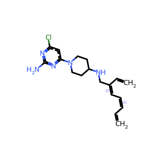 C=C/C=C\C=C(/C=C)CNC1CCN(c2cc(Cl)nc(N)n2)CC1